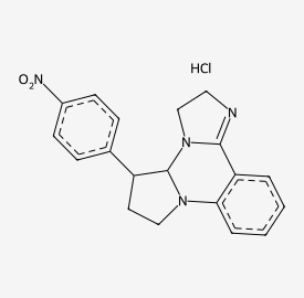 Cl.O=[N+]([O-])c1ccc(C2CCN3c4ccccc4C4=NCCN4C23)cc1